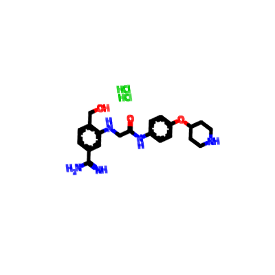 Cl.Cl.N=C(N)c1ccc(CO)c(NCC(=O)Nc2ccc(OC3CCNCC3)cc2)c1